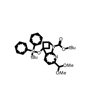 COC(OC)c1ccc2c(n1)N(C(=O)OC(C)(C)C)C1CC2(O[Si](c2ccccc2)(c2ccccc2)C(C)(C)C)C1